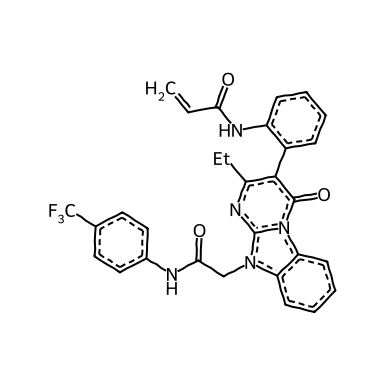 C=CC(=O)Nc1ccccc1-c1c(CC)nc2n(CC(=O)Nc3ccc(C(F)(F)F)cc3)c3ccccc3n2c1=O